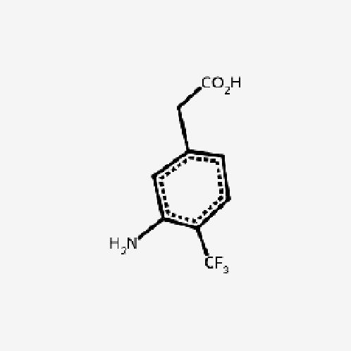 Nc1cc(CC(=O)O)ccc1C(F)(F)F